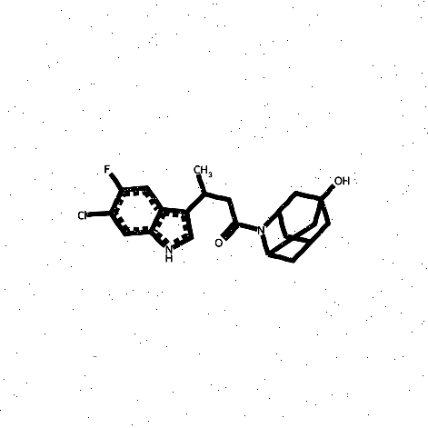 CC(CC(=O)N1C2CC3CC1CC(O)(C3)C2)c1c[nH]c2cc(Cl)c(F)cc12